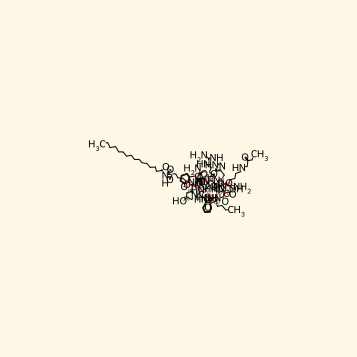 CCCCCCCCCCCCCCCC(=O)NS(=O)(=O)CCCC(=O)NCC(=O)N[C@@H](CO)C(=O)N[C@H](CC(N)=O)C(=O)N[C@@H](Cc1c[nH]cn1)C(=O)N[C@@H](CO)C(=O)N[C@@H](CCCC)C(=O)NCC(=O)N1C[C@H](O)C[C@H]1C(=O)N[C@H](Cc1ccccc1)C(=O)N[C@@H](CCCNC(=N)N)C(=O)N[C@@H](Cc1c[nH]c2ccccc12)C(=O)N[C@@H](CCCCNCC(=O)CC)C(N)=O